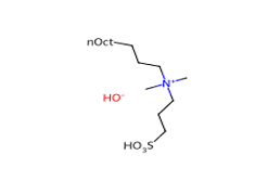 CCCCCCCCCCC[N+](C)(C)CCCS(=O)(=O)O.[OH-]